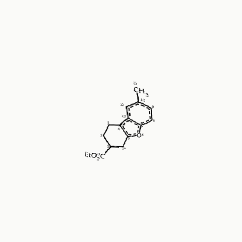 CCOC(=O)C1CCc2c(oc3ccc(C)cc23)C1